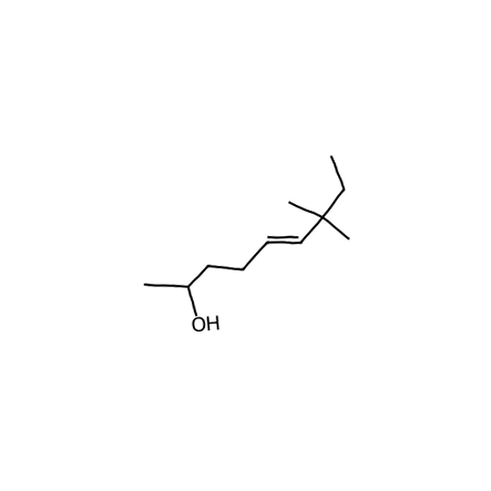 CCC(C)(C)/C=C/CCC(C)O